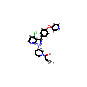 C=CC(=O)N1CCC[C@@H](n2nc(-c3ccc(Oc4ccncc4)cc3)c3c(Cl)ccnc32)C1